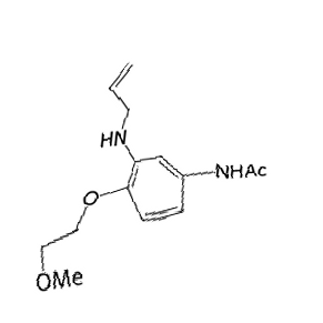 C=CCNc1cc(NC(C)=O)ccc1OCCOC